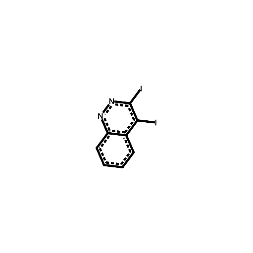 Ic1nnc2ccccc2c1I